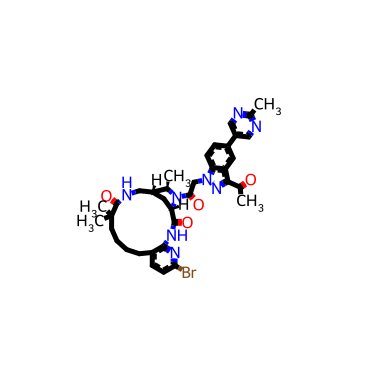 CC(=O)c1nn(CC(=O)N2[C@H](C)[C@H]3CNC(=O)C(C)(C)CCCCc4ccc(Br)nc4NC(=O)[C@@H]2C3)c2ccc(-c3cnc(C)nc3)cc12